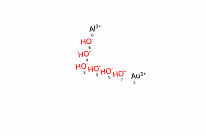 [Al+3].[Au+3].[OH-].[OH-].[OH-].[OH-].[OH-].[OH-]